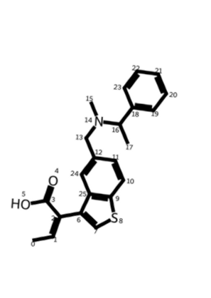 CC=C(C(=O)O)c1csc2ccc(CN(C)C(C)c3ccccc3)cc12